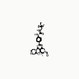 C[C@H]1COCCN1c1nc(-c2ccc(NC(=O)NCC(F)(F)F)cc2)nc2c1CCN(C=O)C2